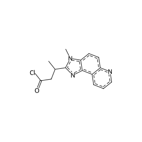 CC(CC(=O)Cl)c1nc2c3cccnc3ccc2n1C